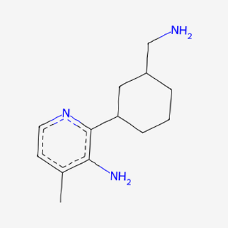 Cc1ccnc(C2CCCC(CN)C2)c1N